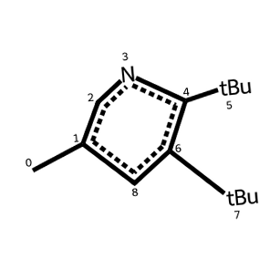 Cc1cnc(C(C)(C)C)c(C(C)(C)C)c1